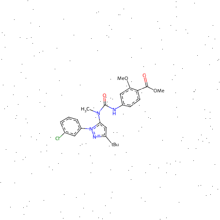 COC(=O)c1ccc(NC(=O)N(C)c2cc(C(C)(C)C)nn2-c2cccc(Cl)c2)cc1OC